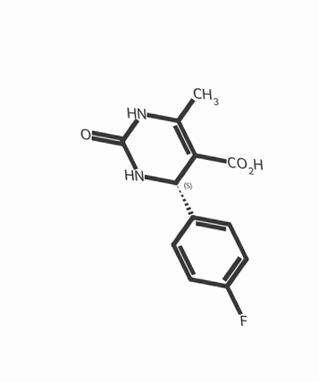 CC1=C(C(=O)O)[C@H](c2ccc(F)cc2)NC(=O)N1